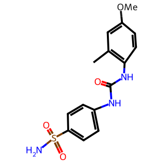 COc1ccc(NC(=O)Nc2ccc(S(N)(=O)=O)cc2)c(C)c1